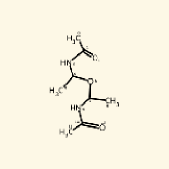 CC(=O)NC(C)OC(C)NC(C)=O